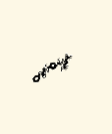 O=C(OC1CCCCC1)c1csc(C2CCN(C(=S)Cn3nc(C(F)F)cc3C(F)F)CC2)n1